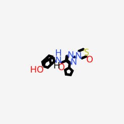 O=C1CN(c2ncc(C(=O)N[C@H]3C4CC5CC3C[C@@](O)(C5)C4)c(C3CCCC3)n2)CCS1